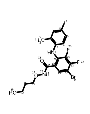 Cc1cc(I)ccc1Nc1c(C(=O)NOCCCO)cc(Br)c(F)c1F